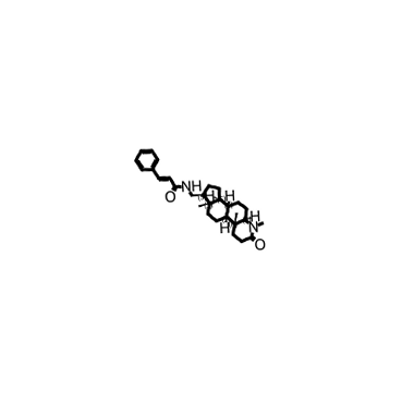 CN1C(=O)CC[C@]2(C)[C@H]3CC[C@]4(C)[C@@H](CNC(=O)C=Cc5ccccc5)CC[C@H]4[C@@H]3CC[C@@H]12